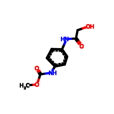 COC(=O)Nc1ccc(NC(=O)CO)cc1